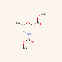 CCC(CNC(=O)OC(C)(C)C)OCC(=O)OC(C)(C)C